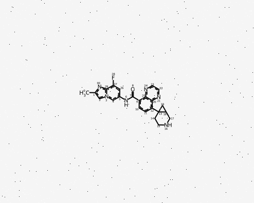 Cc1cn2cc(NC(=O)c3ccc(C45CCNCC4C5)c4nccnc34)cc(F)c2n1